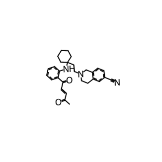 CC(=O)C=CC(=O)c1ccccc1NC1(CCN2CCc3cc(C#N)ccc3C2)CCCCC1